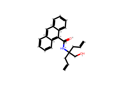 C=CCC(CO)(CC=C)NC(=O)c1c2ccccc2cc2ccccc12